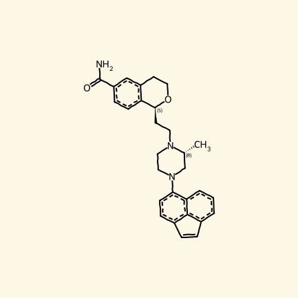 C[C@@H]1CN(c2ccc3c4c(cccc24)C=C3)CCN1CC[C@@H]1OCCc2cc(C(N)=O)ccc21